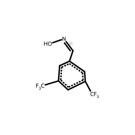 O/N=C\c1cc(C(F)(F)F)cc(C(F)(F)F)c1